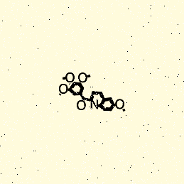 COc1ccc2nc(C(=O)c3cc(OC)c(OC)c(OC)c3)ccc2c1